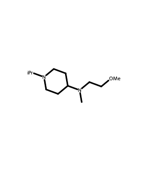 COCCN(C)C1CCN(C(C)C)CC1